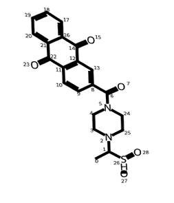 CC(N1CCN(C(=O)c2ccc3c(c2)C(=O)c2ccccc2C3=O)CC1)[SH](=O)=O